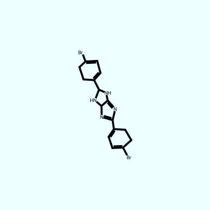 BrC1=CC=C(C2=NC3NC(C4=CC=C(Br)CC4)NC3=N2)CC1